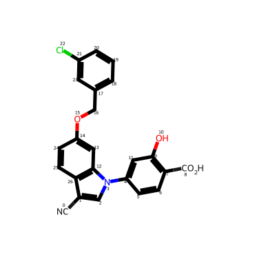 N#Cc1cn(-c2ccc(C(=O)O)c(O)c2)c2cc(OCc3cccc(Cl)c3)ccc12